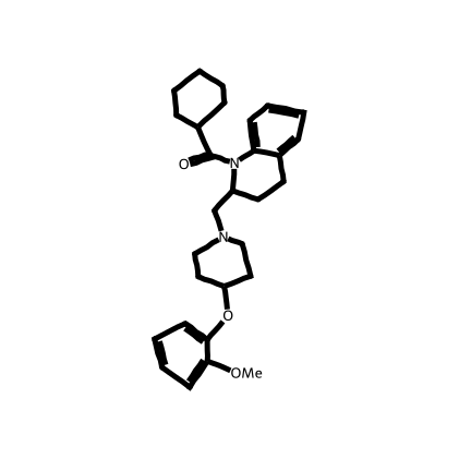 COc1ccccc1OC1CCN(CC2CCc3ccccc3N2C(=O)C2CCCCC2)CC1